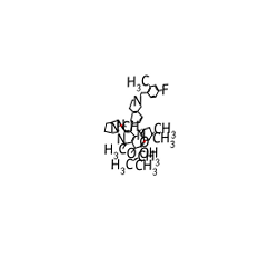 Cc1cc(F)ccc1CN1CCc2cc(-c3c(CN4C5CCC4CN(C)C5)nc(C)c([C@H](OC(C)(C)C)C(=O)O)c3N3CCC(C)(C)CC3)ccc2C1